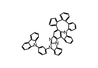 c1cc(-n2c3ccccc3c3ccccc32)cc(-n2c3ccccc3n3c4c(cc5c6ccccc6c6ccccc6c6ccccc6n6c7ccccc7c4c56)nc23)c1